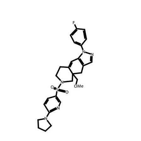 COCC12Cc3cnn(-c4ccc(F)cc4)c3C=C1CCN(S(=O)(=O)c1ccc(N3CCCC3)nc1)C2